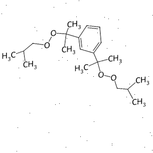 CC(C)COOC(C)(C)c1cccc(C(C)(C)OOCC(C)C)c1